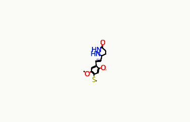 COc1cc(SC)c(OC)cc1/C=C/C1CCC(=O)NN1